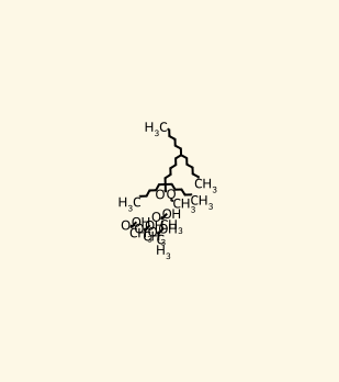 CC(=O)O.CC(=O)O.CC(=O)O.CC(=O)O.CCCCCCC(CCCCCC)CCCCCC(CCCCCC)(CCCCCC)C(=O)OCC